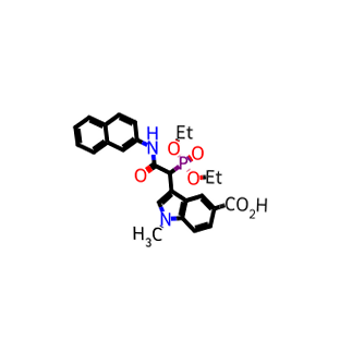 CCOP(=O)(OCC)C(C(=O)Nc1ccc2ccccc2c1)c1cn(C)c2ccc(C(=O)O)cc12